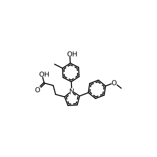 COc1ccc(-c2ccc(CCC(=O)O)n2-c2ccc(O)c(C)c2)cc1